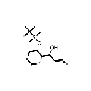 C/C=C/[C@@H](O)[C@@H]1CCCC[C@@H]1O[Si](C)(C)C(C)(C)C